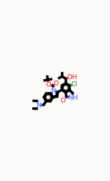 CCN(CC)Cc1ccc2c(c1)cc(-c1cc(C(O)C(C)C)c(Cl)c3c1C(=O)NC3)n2C(=O)OC(C)(C)C